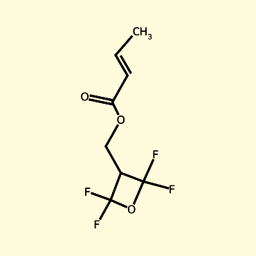 CC=CC(=O)OCC1C(F)(F)OC1(F)F